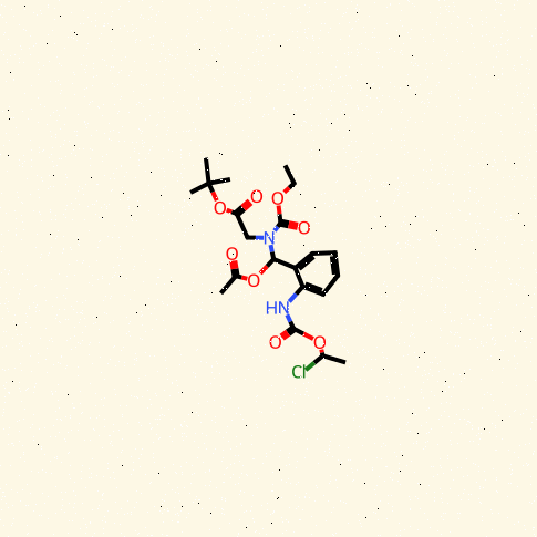 CCOC(=O)N(CC(=O)OC(C)(C)C)C(OC(C)=O)c1ccccc1NC(=O)OC(C)Cl